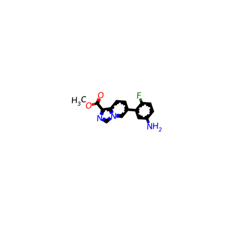 COC(=O)c1ncn2cc(-c3cc(N)ccc3F)ccc12